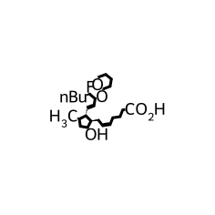 CCCC[C@@H](F)[C@@H](/C=C/[C@@H]1[C@@H](C/C=C\CCCC(=O)O)[C@@H](O)C[C@H]1C)OC1CCCCO1